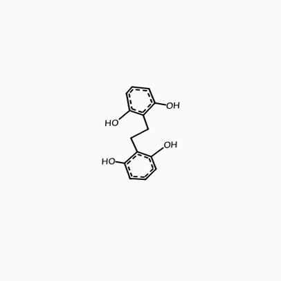 Oc1cccc(O)c1CCc1c(O)cccc1O